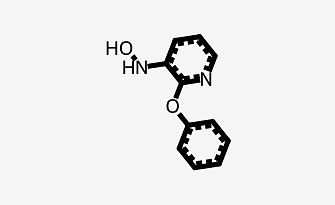 ONc1cccnc1Oc1ccccc1